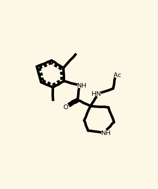 CC(=O)CNC1(C(=O)Nc2c(C)cccc2C)CCNCC1